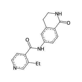 CCc1cnccc1C(=O)Nc1ccc2c(c1)CCNC2=O